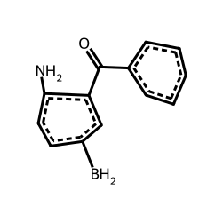 Bc1ccc(N)c(C(=O)c2ccccc2)c1